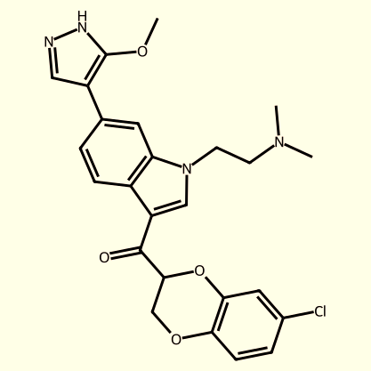 COc1[nH]ncc1-c1ccc2c(C(=O)C3COc4ccc(Cl)cc4O3)cn(CCN(C)C)c2c1